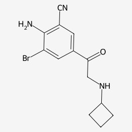 N#Cc1cc(C(=O)CNC2CCC2)cc(Br)c1N